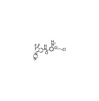 CN1CCN(C=C2C=CC(NC(=O)c3ccc(OCCCCl)c(N)c3)=CC2C(F)(F)F)CC1